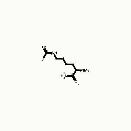 CNC(CCCCNC(=O)I)C(N)=O